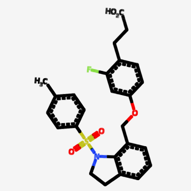 Cc1ccc(S(=O)(=O)N2CCc3cccc(COc4ccc(CCC(=O)O)c(F)c4)c32)cc1